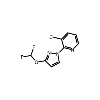 FC(F)Oc1ccn(-c2ncccc2Cl)n1